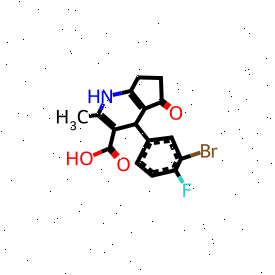 CC1=C(C(=O)O)C(c2ccc(F)c(Br)c2)C2=C(CCC2=O)N1